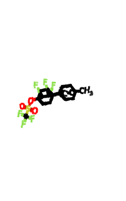 CC12CCC(C34CCC(OS(=O)(=O)C(F)(F)F)(CC3)C(F)C4(F)F)(CC1)CC2